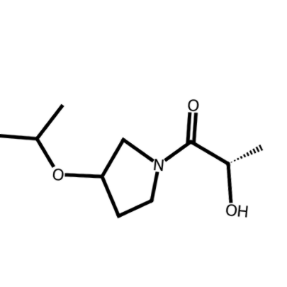 CC(C)OC1CCN(C(=O)[C@H](C)O)C1